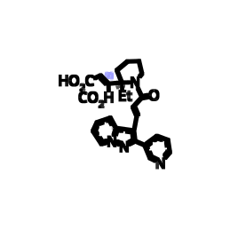 CC[C@@]1(/C(=C/C(=O)O)C(=O)O)CCCCN1C(=O)C=Cc1c(-c2cccnc2)nn2ccccc12